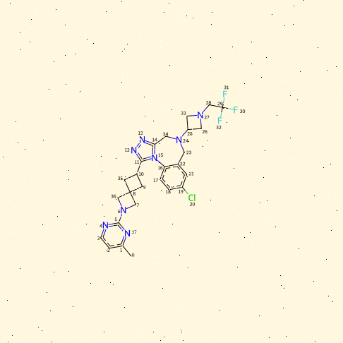 Cc1ccnc(N2CC3(CC(c4nnc5n4-c4ccc(Cl)cc4CN(C4CN(CC(F)(F)F)C4)C5)C3)C2)n1